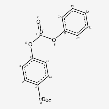 CCCCCCCCCCc1ccc(O[PH](=O)Oc2ccccc2)cc1